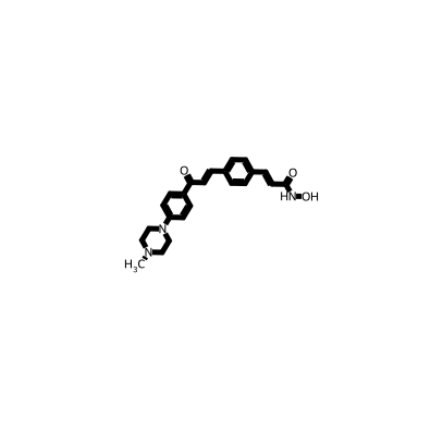 CN1CCN(c2ccc(C(=O)C=Cc3ccc(C=CC(=O)NO)cc3)cc2)CC1